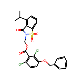 CC(C)c1cccc2c1C(=O)N(COC(=O)c1c(Cl)ccc(OCc3ccccc3)c1Cl)S2(=O)=O